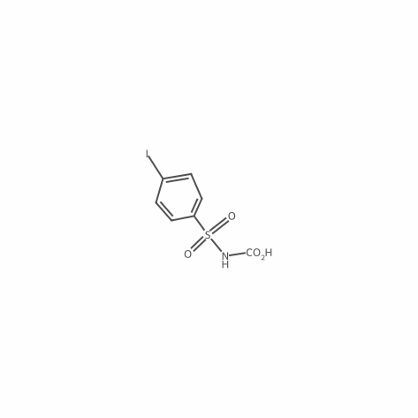 O=C(O)NS(=O)(=O)c1ccc(I)cc1